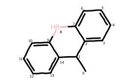 CC1c2ccccc2Bc2ccccc21